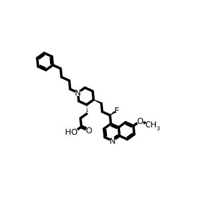 COc1ccc2nccc([C@H](F)CC[C@@H]3CCN(CCCCc4ccccc4)C[C@H]3CCC(=O)O)c2c1